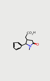 CN1C(=O)CC(CC(=O)O)C1c1ccccc1